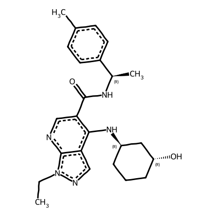 CCn1ncc2c(N[C@@H]3CCC[C@@H](O)C3)c(C(=O)N[C@H](C)c3ccc(C)cc3)cnc21